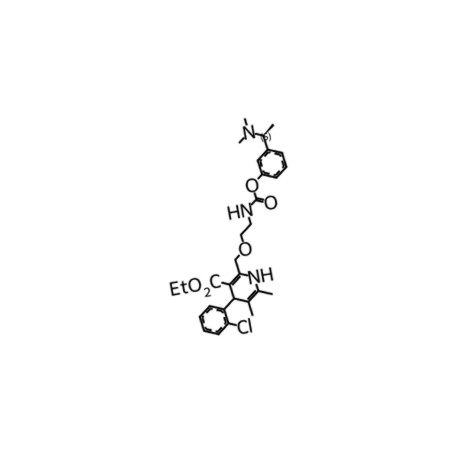 CCOC(=O)C1=C(COCCNC(=O)Oc2cccc([C@H](C)N(C)C)c2)NC(C)=C(C)C1c1ccccc1Cl